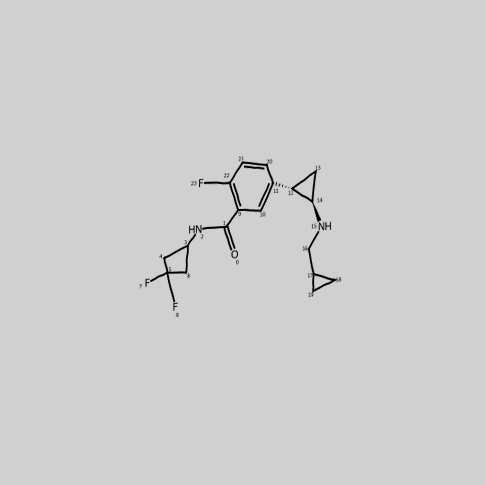 O=C(NC1CC(F)(F)C1)c1cc([C@@H]2C[C@H]2NCC2CC2)ccc1F